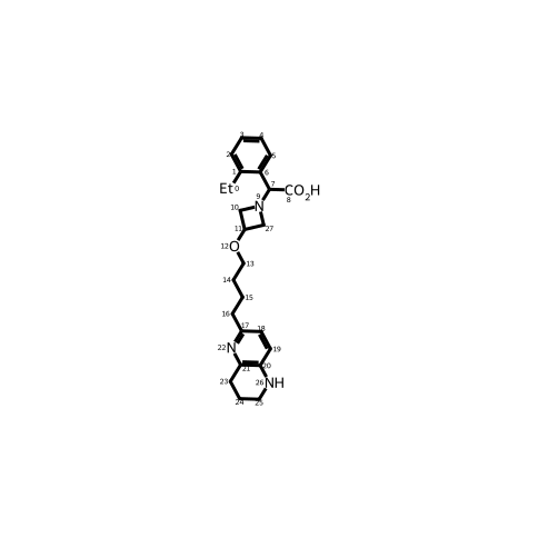 CCc1ccccc1C(C(=O)O)N1CC(OCCCCc2ccc3c(n2)CCCN3)C1